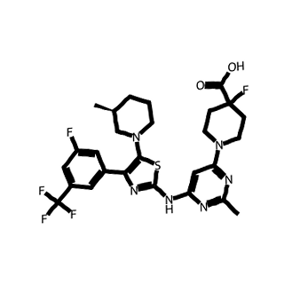 Cc1nc(Nc2nc(-c3cc(F)cc(C(F)(F)F)c3)c(N3CCC[C@H](C)C3)s2)cc(N2CCC(F)(C(=O)O)CC2)n1